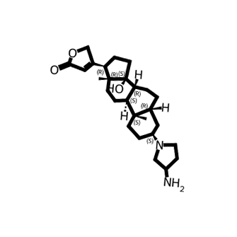 C[C@]12CC[C@H](N3CCC(N)C3)C[C@H]1CC[C@@H]1[C@@H]2CC[C@]2(C)[C@@H](C3=CC(=O)OC3)CC[C@]12O